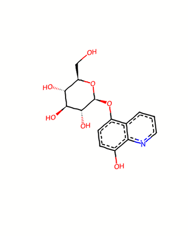 OC[C@H]1O[C@@H](Oc2ccc(O)c3ncccc23)[C@H](O)[C@@H](O)[C@@H]1O